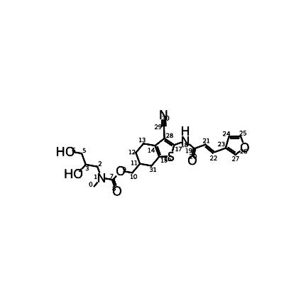 CN(CC(O)CO)C(=O)OCC1CCc2c(sc(NC(=O)C=Cc3ccoc3)c2C#N)C1